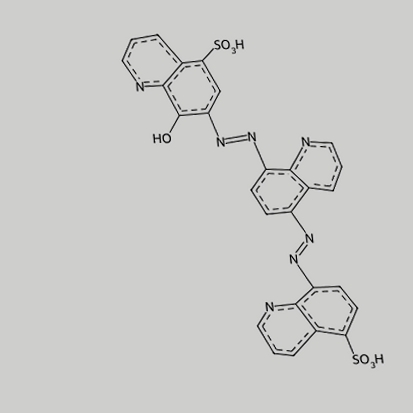 O=S(=O)(O)c1ccc(/N=N/c2ccc(/N=N/c3cc(S(=O)(=O)O)c4cccnc4c3O)c3ncccc23)c2ncccc12